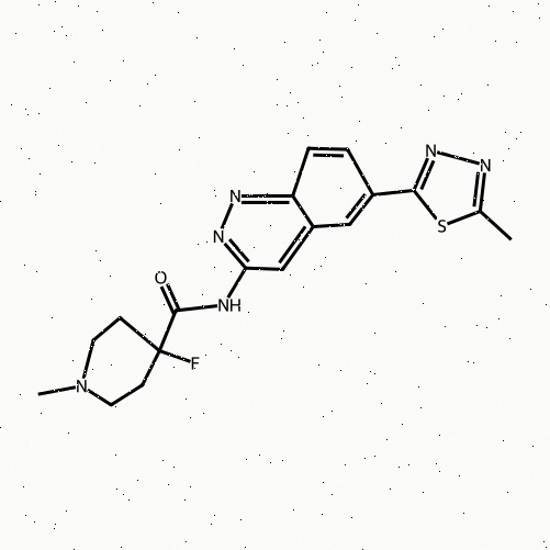 Cc1nnc(-c2ccc3nnc(NC(=O)C4(F)CCN(C)CC4)cc3c2)s1